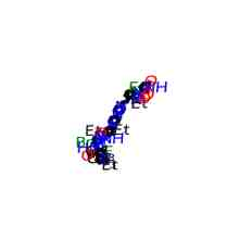 CCOc1cc(N2CCC(N3CCN(CCc4ccc(F)c5c4n(CC)c(=O)n5C4CCC(=O)NC4=O)CC3)CC2)c(CC)cc1Nc1ncc(Br)c(Nc2cc(F)c3nc(CC)ccc3c2P(C)(C)=O)n1